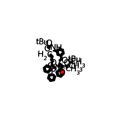 C=CCOC(=O)C(N1C(=O)[C@H](C(C)O[Si](C)(C)C(C)(C)C)[C@H]1CC(=O)c1cccc(CNC(=O)OC(C)(C)C)c1)=P(c1ccccc1)(c1ccccc1)c1ccccc1